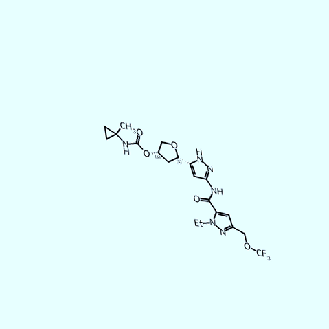 CCn1nc(COC(F)(F)F)cc1C(=O)Nc1cc([C@@H]2C[C@H](OC(=O)NC3(C)CC3)CO2)[nH]n1